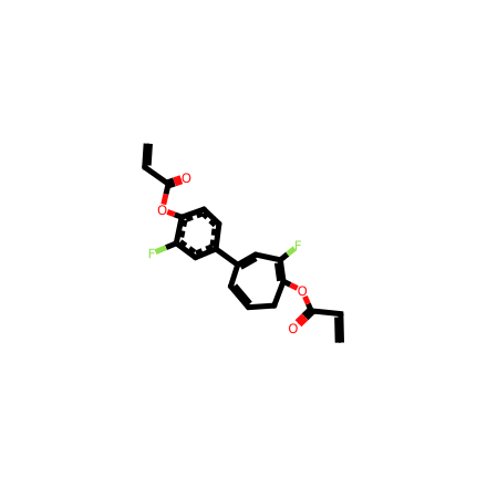 C=CC(=O)OC1=C(F)C=C(c2ccc(OC(=O)C=C)c(F)c2)C=CC1